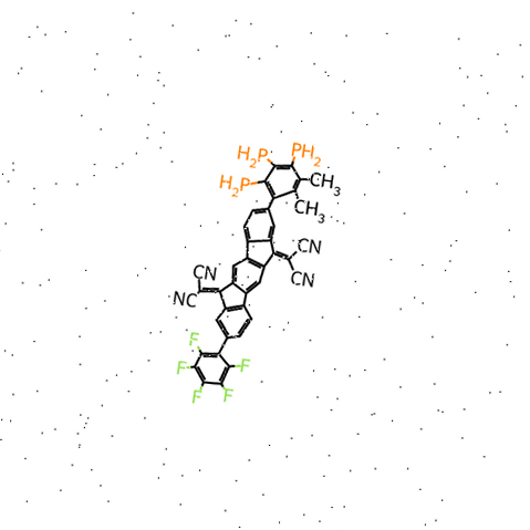 Cc1c(C)c(-c2ccc3c(c2)C(=C(C#N)C#N)c2cc4c(cc2-3)C(=C(C#N)C#N)c2cc(-c3c(F)c(F)c(F)c(F)c3F)ccc2-4)c(P)c(P)c1P